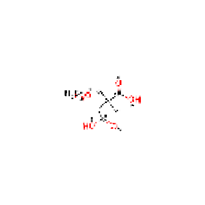 CC(C)(CC(=O)O)C(=O)O.O.[SrH2]